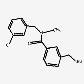 CN(Cc1cccc(Cl)c1)C(=O)c1cccc(CC(C)(C)C)c1